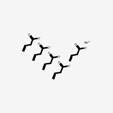 C=CCC(=O)[O-].C=CCC(=O)[O-].C=CCC(=O)[O-].C=CCC(=O)[O-].C=CCC(=O)[O-].[Nb+5]